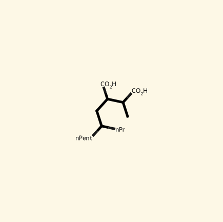 CCCCCC(CCC)CC(C(=O)O)C(C)C(=O)O